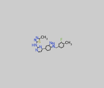 Cc1nnc(Nc2nccc(-c3ccc4c(c3)nnn4Cc3ccc(C)c(F)c3)n2)s1